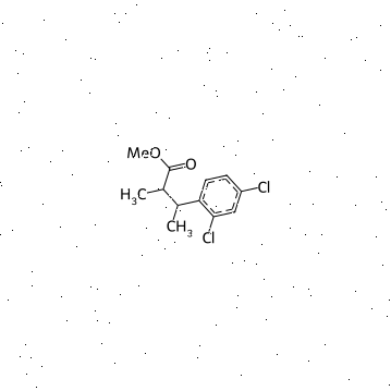 COC(=O)C(C)C(C)c1ccc(Cl)cc1Cl